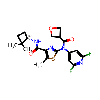 Cc1sc(N(C(=O)C2COC2)c2cc(F)nc(F)c2)nc1C(=O)N[C@H]1CCC1(C)C